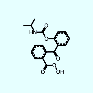 CC(C)NC(=O)Oc1ccccc1C(=O)c1ccccc1C(=O)OO